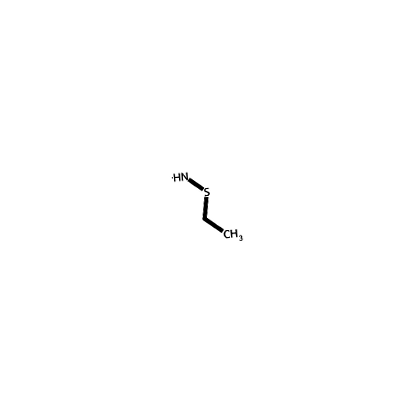 CCS[NH]